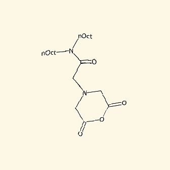 CCCCCCCCN(CCCCCCCC)C(=O)CN1CC(=O)OC(=O)C1